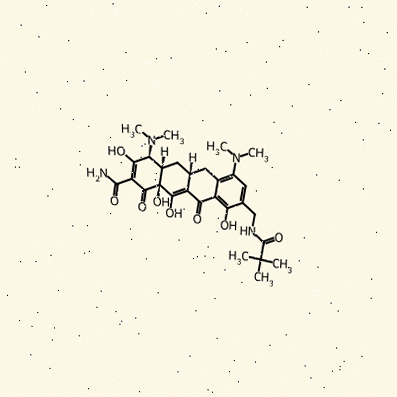 CN(C)c1cc(CNC(=O)C(C)(C)C)c(O)c2c1C[C@H]1C[C@H]3[C@H](N(C)C)C(O)=C(C(N)=O)C(=O)[C@@]3(O)C(O)=C1C2=O